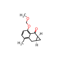 COCOc1ccc(C)c2c1C(=O)[C@H]1C[C@H]1C2